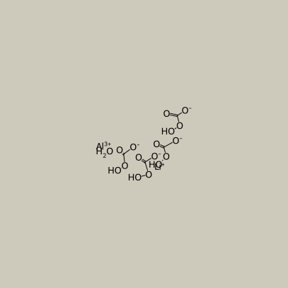 O.O=C([O-])OO.O=C([O-])OO.O=C([O-])OO.O=C([O-])OO.[Al+3].[Li+]